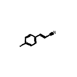 Cc1ccc(C=CC#N)cc1